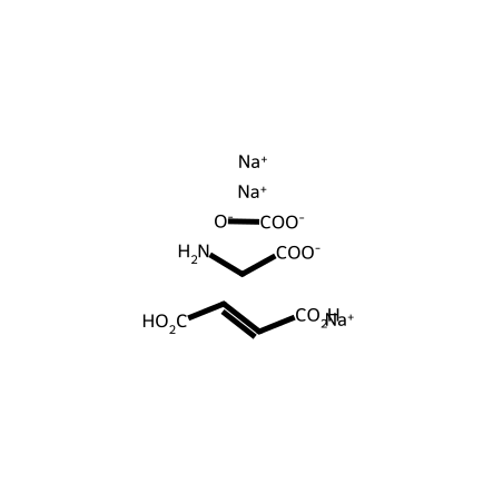 NCC(=O)[O-].O=C(O)/C=C/C(=O)O.O=C([O-])[O-].[Na+].[Na+].[Na+]